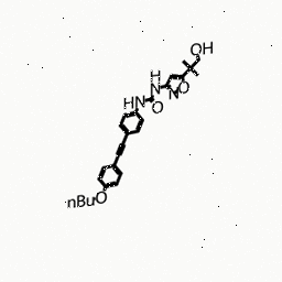 CCCCOc1ccc(C#Cc2ccc(NC(=O)Nc3cc(C(C)(C)CO)on3)cc2)cc1